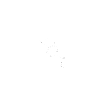 CNC(=O)c1ccc(C(F)(F)F)c(F)c1